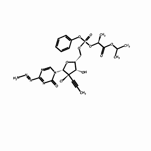 CC#C[C@@]1(Cl)[C@@H](O)[C@@H](COP(=O)(Oc2ccccc2)O[C@@H](C)C(=O)OC(C)C)O[C@H]1n1cnc(N=NN)nc1=O